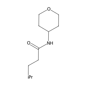 CC(C)CCC(=O)NC1CCOCC1